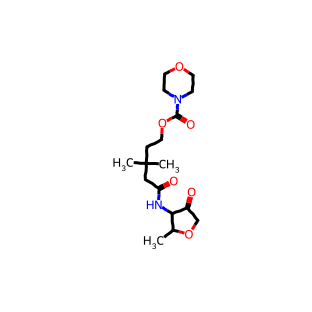 CC1OCC(=O)C1NC(=O)CC(C)(C)CCOC(=O)N1CCOCC1